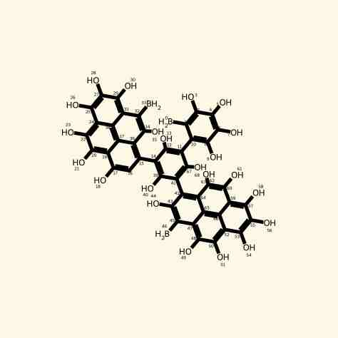 Bc1c(O)c(O)c(O)c(O)c1-c1c(O)c(-c2cc(O)c3c(O)c(O)c4c(O)c(O)c(O)c5c(B)c(O)c2c3c54)c(O)c(-c2c(O)c(B)c3c(O)c(O)c4c(O)c(O)c(O)c5c(O)c(O)c2c3c45)c1O